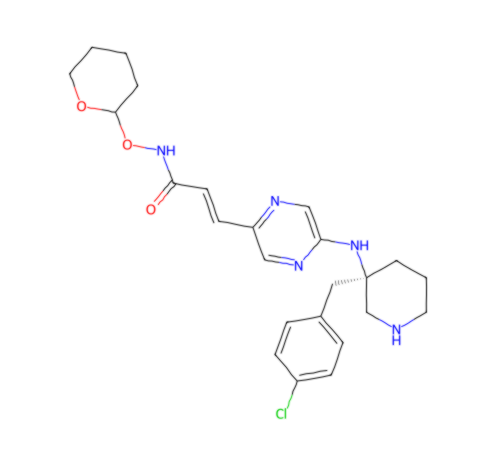 O=C(/C=C/c1cnc(N[C@@]2(Cc3ccc(Cl)cc3)CCCNC2)cn1)NOC1CCCCO1